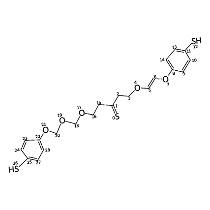 S=C(CCO/C=C/Oc1ccc(S)cc1)CCOCOCOc1ccc(S)cc1